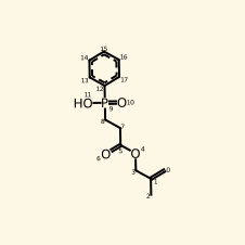 C=C(C)COC(=O)CCP(=O)(O)c1ccccc1